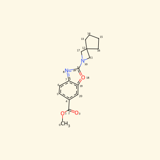 COC(=O)c1ccc2nc(N3CC4(CCCC4)C3)oc2c1